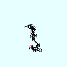 CC[C@@]1(O)C(=O)OCc2c1cc1n(c2=O)Cc2cc3c(CN(C)C)c(OC(=O)N4C[C@H](C)N(CCCCCCN(C)c5ccc(C6CC7(C)[C@@H](CC[C@]7(OC(C)=O)C(C)=O)C7CCC8=CC(=O)CCC8=C67)cc5)C[C@H]4C)ccc3nc2-1